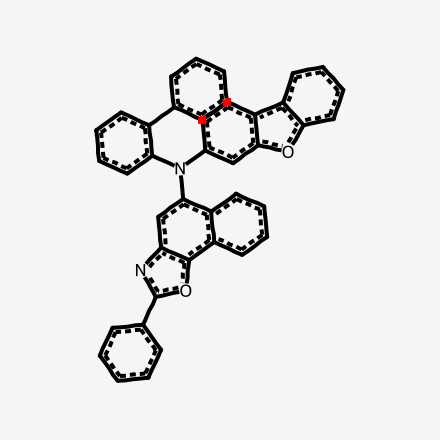 c1ccc(-c2nc3cc(N(c4ccc5c(c4)oc4ccccc45)c4ccccc4-c4ccccc4)c4ccccc4c3o2)cc1